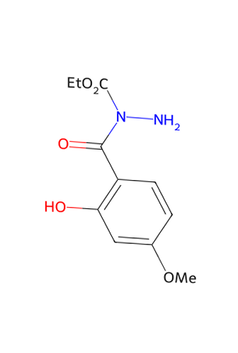 CCOC(=O)N(N)C(=O)c1ccc(OC)cc1O